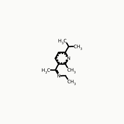 CC/N=C(/C)c1ccc(C(C)C)nc1C